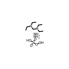 CCN(CC)CN(CC)CC.N.N.O=S(=O)(O)OO